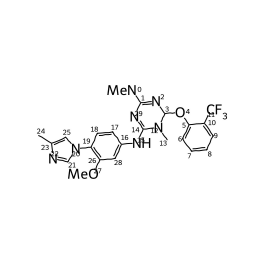 CNC1=NC(Oc2ccccc2C(F)(F)F)N(C)C(Nc2ccc(-n3cnc(C)c3)c(OC)c2)=N1